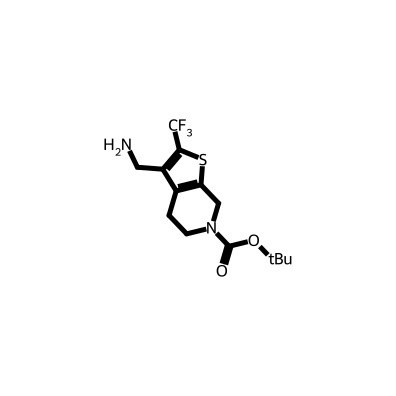 CC(C)(C)OC(=O)N1CCc2c(sc(C(F)(F)F)c2CN)C1